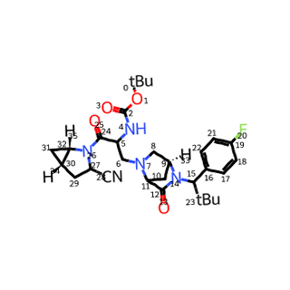 CC(C)(C)OC(=O)NC(CN1C[C@@H]2CC1C(=O)N2C(c1ccc(F)cc1)C(C)(C)C)C(=O)N1C(C#N)C[C@@H]2C[C@@H]21